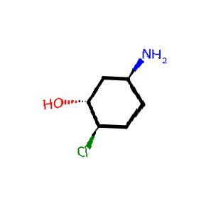 N[C@H]1CC[C@@H](Cl)[C@H](O)C1